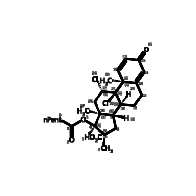 CCCCCC(=O)O[C@]1(C(=O)O)[C@@H](C)C[C@H]2[C@@H]3CCC4=CC(=O)C=C[C@]4(C)[C@@]3(Cl)[C@@H](Cl)C[C@@]21C